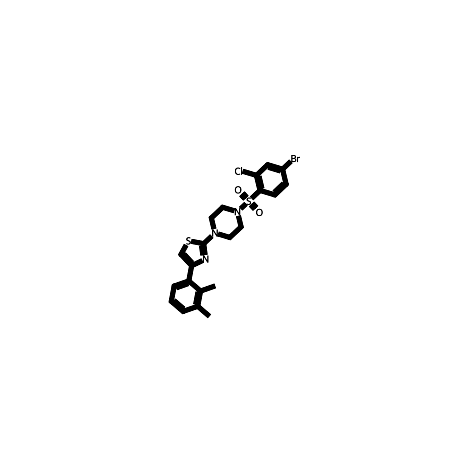 Cc1cccc(-c2csc(N3CCN(S(=O)(=O)c4ccc(Br)cc4Cl)CC3)n2)c1C